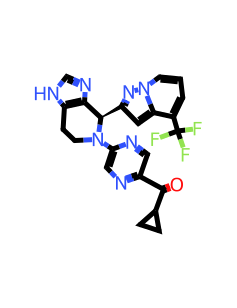 O=C(c1cnc(N2CCc3[nH]cnc3[C@H]2c2cc3c(C(F)(F)F)cccn3n2)cn1)C1CC1